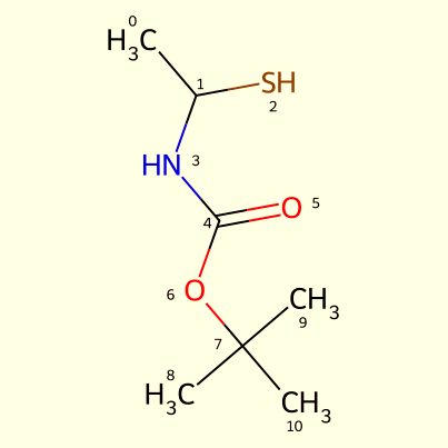 CC(S)NC(=O)OC(C)(C)C